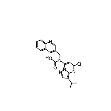 CC(C)c1cnn2c(N(Cc3cnc4ccccc4c3)C(=O)O)cc(Cl)nc12